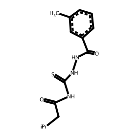 Cc1cccc(C(=O)NNC(=S)NC(=O)CC(C)C)c1